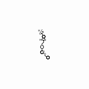 COC(=O)c1ccc2nc(CCN3CCC(c4cccc(OCc5ccccc5)n4)CC3)[nH]c2c1